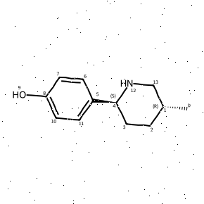 C[C@@H]1CC[C@@H](c2ccc(O)cc2)NC1